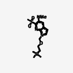 CNc1cc2ccn(COCC[Si](C)(C)C)c2nc1S(C)(=O)=O